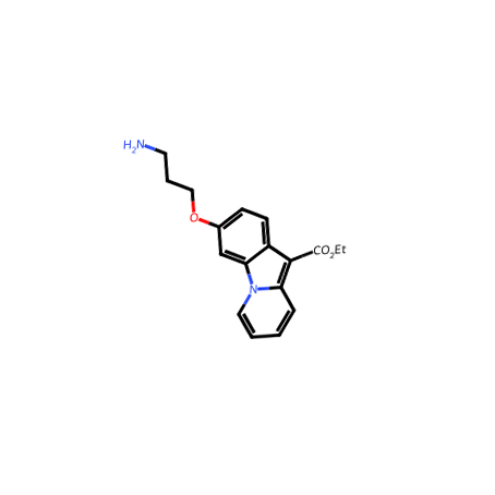 CCOC(=O)c1c2ccc(OCCCN)cc2n2ccccc12